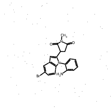 CN1C(=O)CC(c2cc3cc(Br)ccc3n2-c2ccccc2N)C1=O